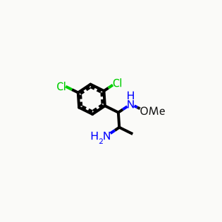 CONC(c1ccc(Cl)cc1Cl)C(C)N